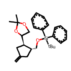 C=C1C[C@@H](CO[Si](c2ccccc2)(c2ccccc2)C(C)(C)C)[C@H](C2COC(C)(C)O2)C1